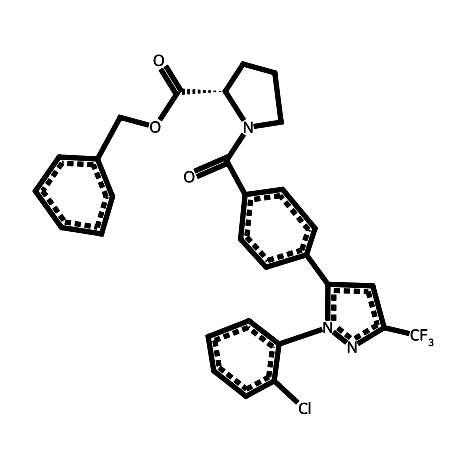 O=C(OCc1ccccc1)[C@@H]1CCCN1C(=O)c1ccc(-c2cc(C(F)(F)F)nn2-c2ccccc2Cl)cc1